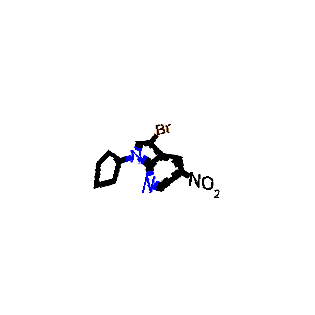 O=[N+]([O-])c1cnc2c(c1)c(Br)cn2C1CCCC1